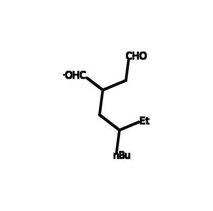 CCCCC(CC)CC([C]=O)CC=O